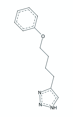 c1ccc(OCCCCc2c[nH]nn2)cc1